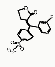 CS(=O)(=O)c1ccc(C(=C2CCOC2=O)c2cccc(F)c2)cc1